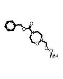 CCCCOOCN1CCN(C(=O)OCc2ccccc2)CCO1